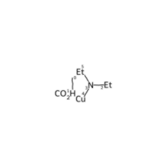 CC(=O)O.CC[N]([Cu])CC